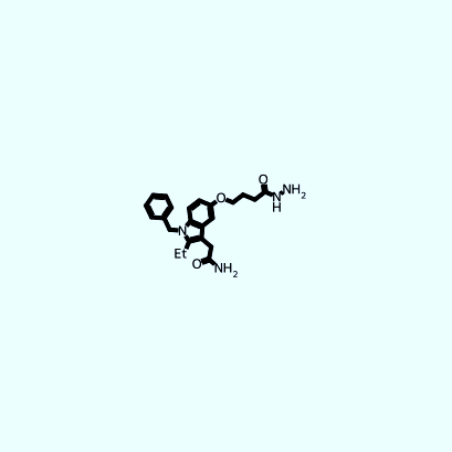 CCc1c(CC(N)=O)c2cc(OCCCC(=O)NN)ccc2n1Cc1ccccc1